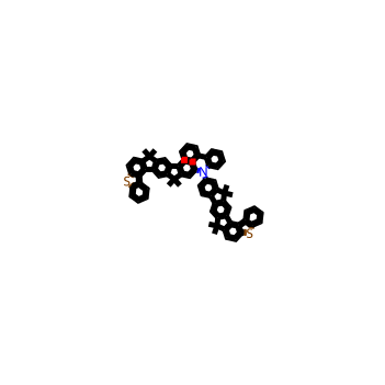 CC1(C)c2cc(N(c3ccc4c(c3)C(C)(C)c3cc5c(cc3-4)C(C)(C)c3ccc4sc6ccccc6c4c3-5)c3ccccc3-c3ccccc3)ccc2-c2cc3c(cc21)-c1c(ccc2sc4ccccc4c12)C3(C)C